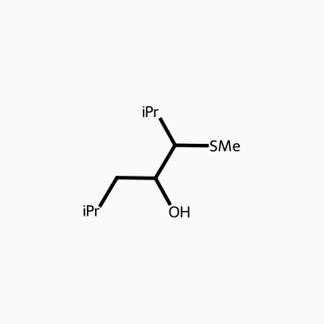 CSC(C(C)C)C(O)CC(C)C